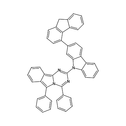 c1ccc(-c2nc(-n3c4ccccc4c4ccc(-c5cccc6c5-c5ccccc5C6)cc43)nc3c4ccccc4c(-c4ccccc4)n23)cc1